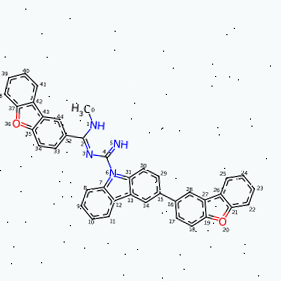 CN/C(=N\C(=N)n1c2ccccc2c2cc(-c3ccc4oc5ccccc5c4c3)ccc21)c1ccc2oc3ccccc3c2c1